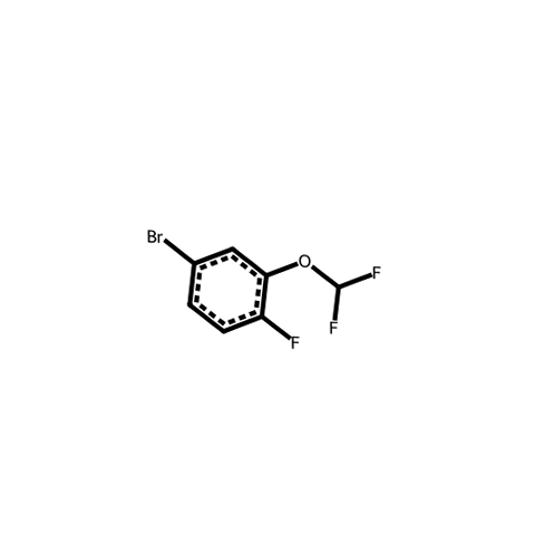 Fc1ccc(Br)cc1OC(F)F